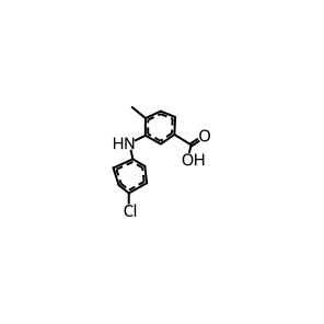 Cc1ccc(C(=O)O)cc1Nc1ccc(Cl)cc1